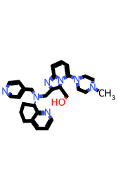 CN1CCN(C2=CC=CC3=NC(CN(Cc4ccncc4)[C@H]4CCCc5cccnc54)C(CO)N23)CC1